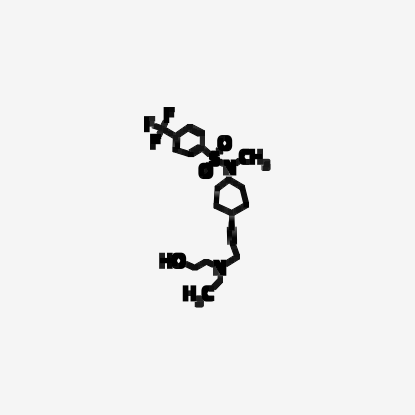 CCN(CC#C[C@H]1CC[C@H](N(C)S(=O)(=O)c2ccc(C(F)(F)F)cc2)CC1)CCO